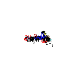 CCOC(=O)C1=C(CN2CCN3C(=O)N(c4ccc(/C(C)=C/C(=O)O)cc4)C[C@@H]3C2)NC(c2nccs2)=N[C@H]1c1ccc(F)cc1Br